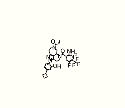 C=CC(=O)N1CCc2nn(-c3ccc(C4CCC4)cc3O)c3c2C(C1)N(C(=O)c1cc(F)c(C(F)(F)F)nc1N)CC3